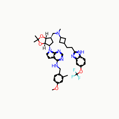 COc1ccc(CNc2ncnc3c2ccn3[C@@H]2C[C@H](CN(C)C3CC(CCc4nc5cc(OC(F)(F)F)ccc5[nH]4)C3)[C@H]3OC(C)(C)O[C@H]32)c(C)c1